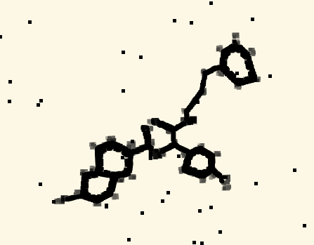 O=C(NC(C(=O)NCCCc1cccnc1)c1ccc(Cl)cc1)c1ccc2cc(F)ccc2c1